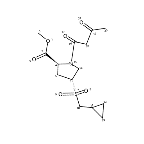 COC(=O)[C@@H]1C[C@@H](S(=O)(=O)CC2CC2)CN1C(=O)CC(C)=O